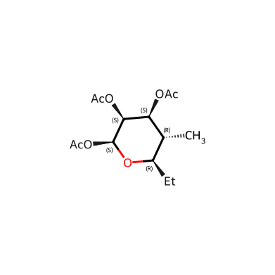 CC[C@H]1O[C@@H](OC(C)=O)[C@@H](OC(C)=O)[C@@H](OC(C)=O)[C@@H]1C